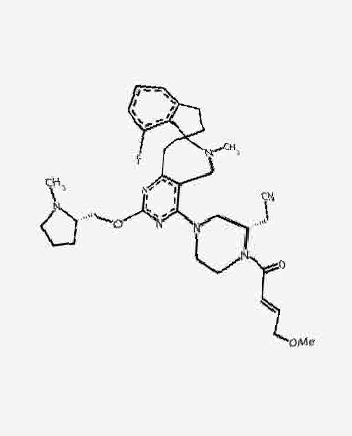 COC/C=C/C(=O)N1CCN(c2nc(OC[C@@H]3CCCN3C)nc3c2CN(C)C2(CCc4cccc(F)c42)C3)C[C@@H]1CC#N